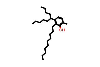 CCCCCCCCCCc1c(C(CCCC)CCCCC)ccc(C)c1O